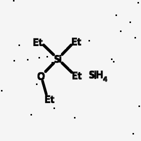 CCO[Si](CC)(CC)CC.[SiH4]